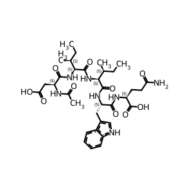 CC[C@H](C)[C@H](NC(=O)[C@H](CC(=O)O)NC(C)=O)C(=O)N[C@H](C(=O)N[C@@H](Cc1c[nH]c2ccccc12)C(=O)N[C@@H](CCC(N)=O)C(=O)O)[C@@H](C)CC